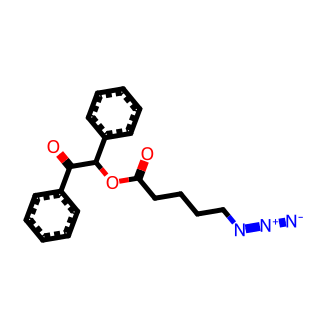 [N-]=[N+]=NCCCCC(=O)OC(C(=O)c1ccccc1)c1ccccc1